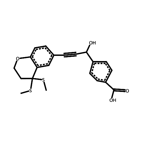 CSC1(SC)CCOc2ccc(C#CC(O)c3ccc(C(=O)O)cc3)cc21